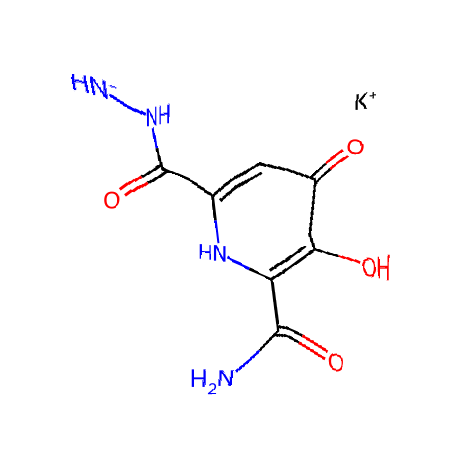 [K+].[NH-]NC(=O)c1cc(=O)c(O)c(C(N)=O)[nH]1